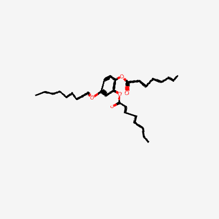 CCCCCCCCOc1ccc(OC(=O)CCCCCCC)c(OC(=O)CCCCCCC)c1